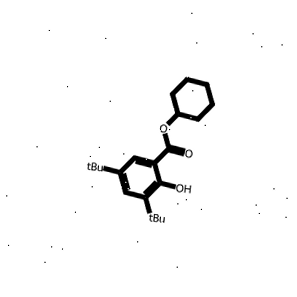 CC(C)(C)c1cc(C(=O)OC2CCCCC2)c(O)c(C(C)(C)C)c1